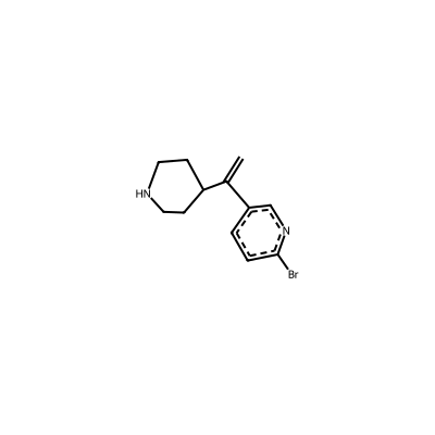 C=C(c1ccc(Br)nc1)C1CCNCC1